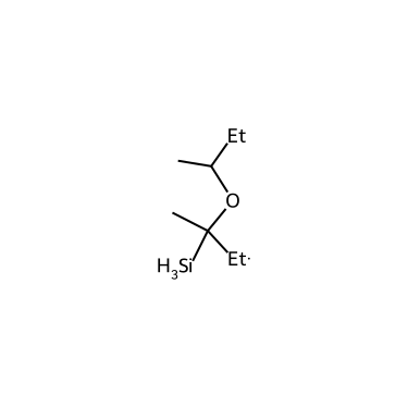 C[CH]C(C)([SiH3])OC(C)CC